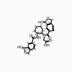 O=C(O)CN(C(=O)c1ccc2c(c1)B(O)OC2)C1CCCC[C@@H]1NC(=O)c1ccc2c(c1)B(O)OC2